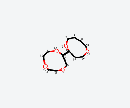 C1CCOC([C]2COCCOCCO2)CCOC1